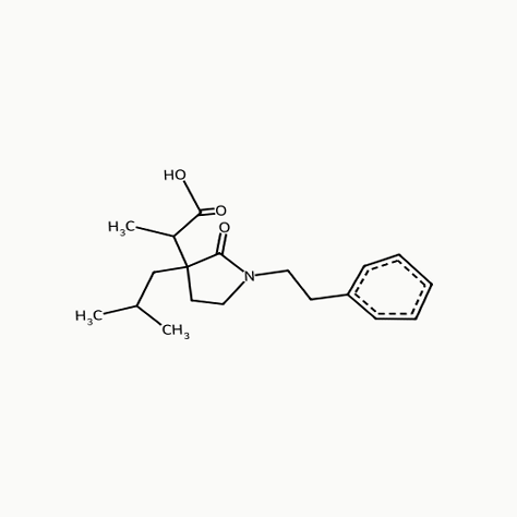 CC(C)CC1(C(C)C(=O)O)CCN(CCc2ccccc2)C1=O